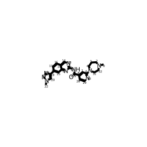 CN1CCCN(c2cc(C(=O)Nc3ncc4ccc(-c5cn(C)nn5)cc4n3)ccn2)CC1